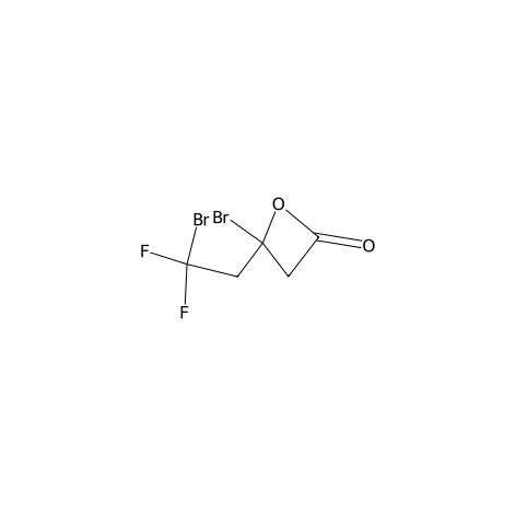 O=C1CC(Br)(CC(F)(F)Br)O1